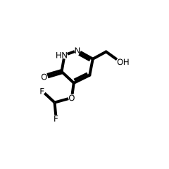 O=c1[nH]nc(CO)cc1OC(F)F